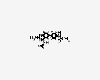 CC(=O)Nc1ccc(-c2ccc3nc(N)nc(NC4CC4)c3c2)cc1